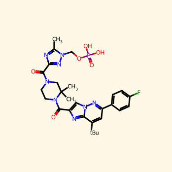 Cc1nc(C(=O)N2CCN(C(=O)c3cn4nc(-c5ccc(F)cc5)cc(C(C)(C)C)c4n3)C(C)(C)C2)nn1COP(=O)(O)O